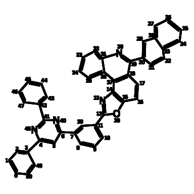 c1ccc(-c2cc(-c3cccc(-c4nc5c(ccc6c(-c7ccc8ccccc8c7)nc7ccccc7c65)o4)c3)nc(-c3ccccc3)n2)cc1